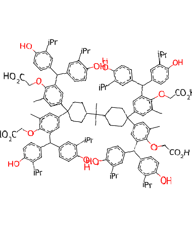 Cc1cc(C2(c3cc(C)c(OCC(=O)O)c(C(c4ccc(O)c(C(C)C)c4)c4ccc(O)c(C(C)C)c4)c3)CCC(C(C)(C)C3CCC(c4cc(C)c(OCC(=O)O)c(C(c5ccc(O)c(C(C)C)c5)c5ccc(O)c(C(C)C)c5)c4)(c4cc(C)c(OCC(=O)O)c(C(c5ccc(O)c(C(C)C)c5)c5ccc(O)c(C(C)C)c5)c4)CC3)CC2)cc(C(c2ccc(O)c(C(C)C)c2)c2ccc(O)c(C(C)C)c2)c1OCC(=O)O